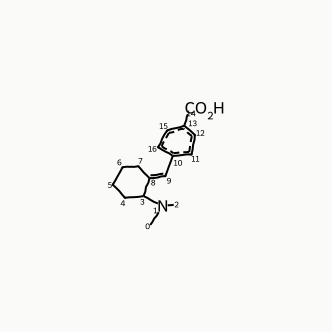 CN(C)C1CCCCC1=Cc1ccc(C(=O)O)cc1